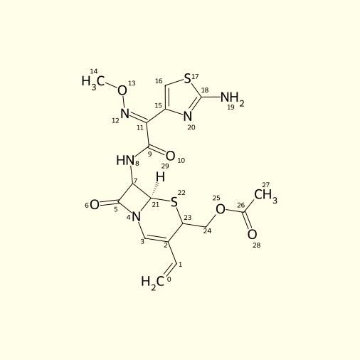 C=CC1=CN2C(=O)C(NC(=O)C(=NOC)c3csc(N)n3)[C@H]2SC1COC(C)=O